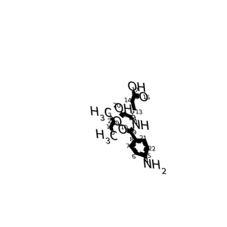 CCCC.Nc1ccc(C(=O)N[C@@H](CCC(=O)O)C(=O)O)cc1